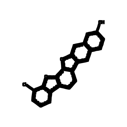 Oc1ccc2cc3c(cc2c1)oc1c3ccc2c3cccc(Cl)c3oc21